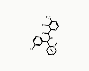 CN1CC2CCC1(C(NC(=O)c1cccc(C(F)(F)F)c1Cl)c1cccc(Cl)c1)CC2